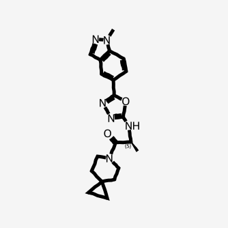 C[C@H](Nc1nnc(-c2ccc3c(cnn3C)c2)o1)C(=O)N1CCC2(CC1)CC2